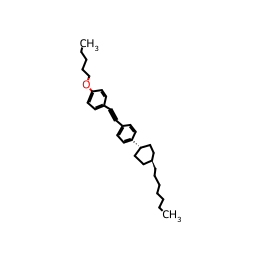 CCCCCCC[C@H]1CC[C@H](c2ccc(C#Cc3ccc(OCCCCC)cc3)cc2)CC1